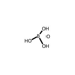 OB(O)O.[O]